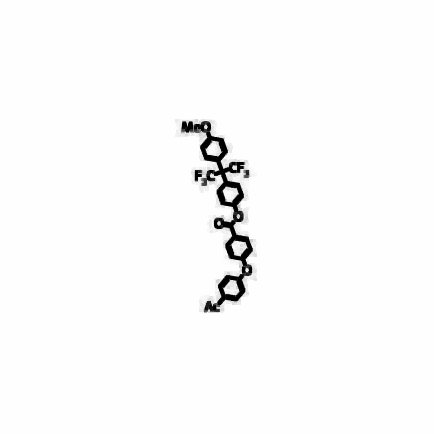 COc1ccc(C(c2ccc(OC(=O)c3ccc(Oc4ccc(C(C)=O)cc4)cc3)cc2)(C(F)(F)F)C(F)(F)F)cc1